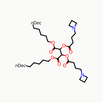 CCCCCCCCCCCCCCCOC(=O)C(OC(=O)CCCN1CCC1)C(OC(=O)CCCN1CCC1)C(=O)OCCCCCCCCCCCCCCC